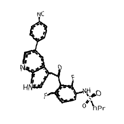 [C-]#[N+]c1ccc(-c2cnc3[nH]cc(C(=O)c4c(F)ccc(NS(=O)(=O)CCC)c4F)c3c2)cc1